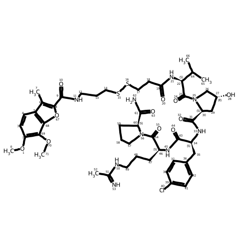 COc1ccc2c(C)c(C(=O)NCCCSSCCC(=O)N[C@H](C(=O)N3C[C@H](O)C[C@H]3C(=O)N[C@@H](Cc3ccc(Cl)cc3)C(=O)N[C@@H](CCCNC(C)=N)C(=O)N3CCC[C@H]3C(N)=O)C(C)C)oc2c1OC